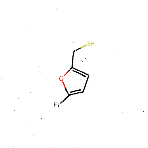 CCc1ccc(CS)o1